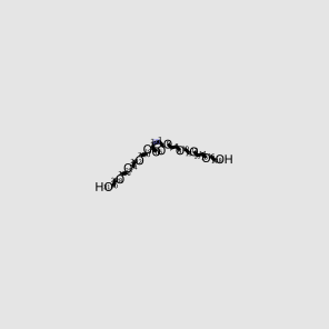 O=C(/C=C\C(=O)OCCOCCOCCOCCO)OCCOCCOCCOCCO